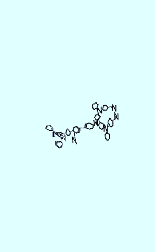 N#Cc1ccc(N(c2ccccc2)c2ccc3c(c2)c2cc(N(c4ccccc4)c4ccc(C#N)cc4)ccc2n3-c2ccc(-c3ccc(-c4ccc(-c5cc(-c6ccccc6)nc(-c6ccccc6)n5)cc4)c(C#N)c3)cc2)cc1